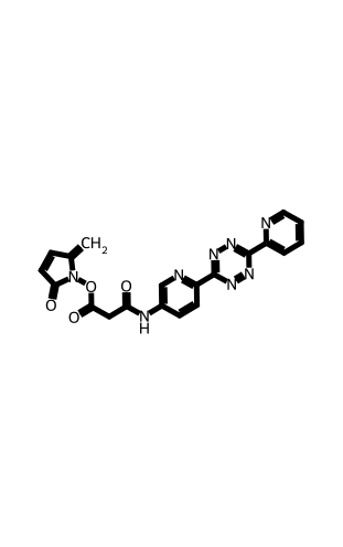 C=C1C=CC(=O)N1OC(=O)CC(=O)Nc1ccc(-c2nnc(-c3ccccn3)nn2)nc1